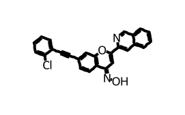 ON=c1cc(-c2cc3ccccc3cn2)oc2cc(C#Cc3ccccc3Cl)ccc12